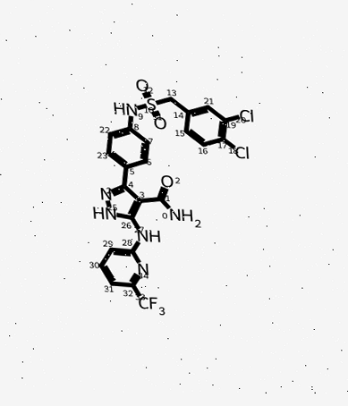 NC(=O)c1c(-c2ccc(NS(=O)(=O)Cc3ccc(Cl)c(Cl)c3)cc2)n[nH]c1Nc1cccc(C(F)(F)F)n1